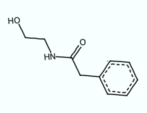 O=C(Cc1[c]cccc1)NCCO